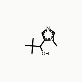 Cn1cncc1C(O)C(C)(C)C